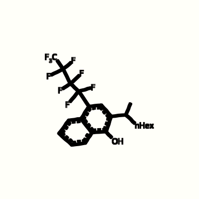 CCCCCCC(C)c1cc(C(F)(F)C(F)(F)C(F)(F)C(F)(F)F)c2ccccc2c1O